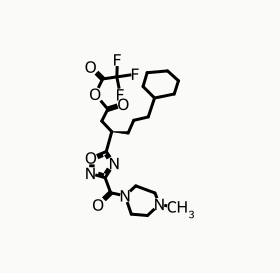 CN1CCN(C(=O)c2noc([C@H](CCCC3CCCCC3)CC(=O)OC(=O)C(F)(F)F)n2)CC1